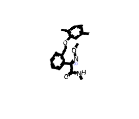 CNC(=O)/C(=N/OC)c1ccccc1COc1cc(C)ccc1C